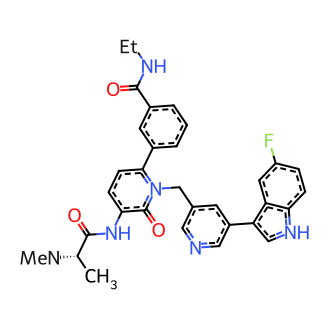 CCNC(=O)c1cccc(-c2ccc(NC(=O)[C@H](C)NC)c(=O)n2Cc2cncc(-c3c[nH]c4ccc(F)cc34)c2)c1